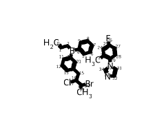 C=CCB(c1ccccc1)c1cccc(CC(Cl)C(C)Br)c1.Cc1cc(F)ccc1-n1ccnc1